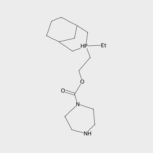 CC[PH]1(CCOC(=O)N2CCNCC2)CC2CCCC(C2)C1